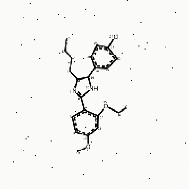 CCCCC1N=C(c2ccc(OC)cc2OCC)NC1c1ccc(Cl)cc1